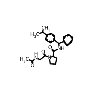 CC(=O)NCC(=O)N1CCCC1C(=O)NC(c1ccccc1)c1ccc(C(C)C)cc1